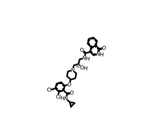 O=C(NC1CC1)c1c(OC2CCN(C[C@H](O)CNC(=O)c3c[nH]c(=O)c4ccccc34)CC2)ccc(Cl)c1Cl